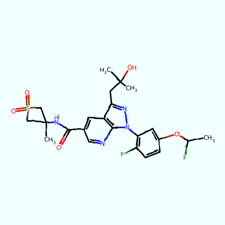 CC(F)Oc1ccc(F)c(-n2nc(CC(C)(C)O)c3cc(C(=O)NC4(C)CS(=O)(=O)C4)cnc32)c1